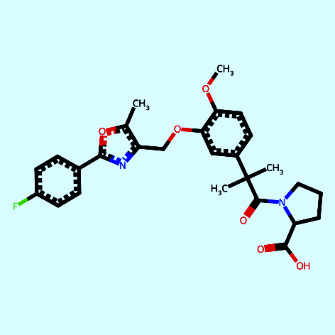 COc1ccc(C(C)(C)C(=O)N2CCCC2C(=O)O)cc1OCc1nc(-c2ccc(F)cc2)oc1C